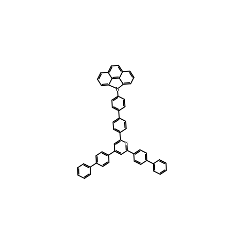 c1ccc(-c2ccc(-c3cc(-c4ccc(-c5ccccc5)cc4)nc(-c4ccc(-c5ccc(-n6c7cccc8ccc9cccc6c9c87)cc5)cc4)c3)cc2)cc1